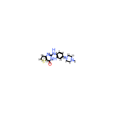 CN1CCN(c2ccc(Nc3nc4c(c(=O)[nH]3)SCC4)cc2)CC1